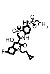 CCS(=O)(=O)Nc1ccc2c(c1)S(=O)(=O)C=C(c1c(O)c3cc(F)ccc3n(CCC3CC3)c1=O)N2